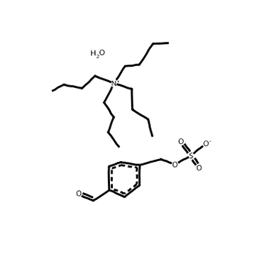 CCCC[N+](CCCC)(CCCC)CCCC.O.O=Cc1ccc(COS(=O)(=O)[O-])cc1